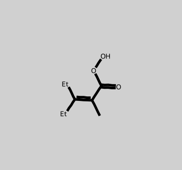 CCC(CC)=C(C)C(=O)OO